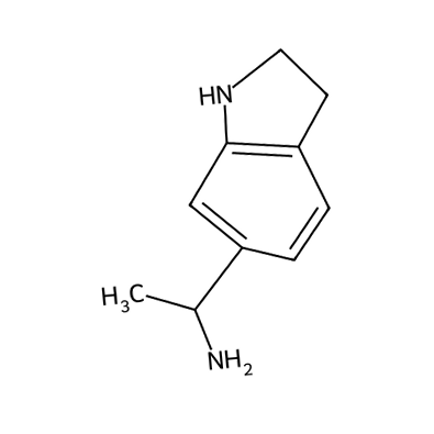 CC(N)c1ccc2c(c1)NCC2